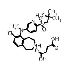 CN(c1ccc(S(=O)(=O)CC(C)(C)C)nc1)c1c(Cl)ccc2c1CCNCC2.O=C(O)CCC(=O)O